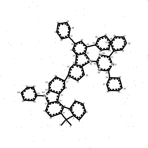 CC1(C)c2ccccc2-c2c1ccc1c2c2cc(-c3ccc4c(c3)c3cc(-c5ccccc5)cc(-c5ccccc5)c3n4-c3nc(-c4ccccc4)nc(-c4ccccc4)n3)ccc2n1-c1ccccc1